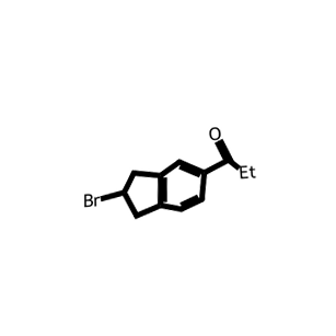 CCC(=O)c1ccc2c(c1)CC(Br)C2